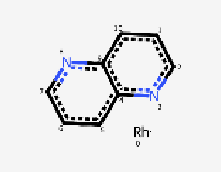 [Rh].c1cnc2cccnc2c1